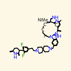 C=C1CCC(c2c(F)cc(CCN3CCC4(CC3)CCN(Cc3ccc5c(c3)N3C[C@H](C)CCCC/C(NC)=C(/C=N)c6cc(cc(C)n6)C(=C)/N=C/3N5)CC4)cc2F)C(=C)N1